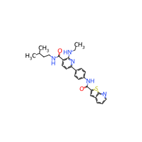 CCNc1nc(-c2ccc(NC(=O)c3cc4cccnc4s3)cc2)ccc1C(=O)NCCC(C)C